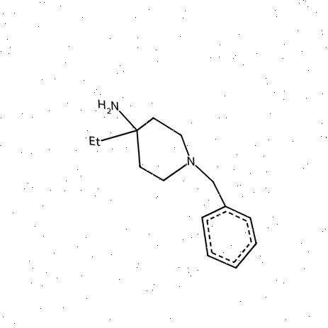 CCC1(N)CCN(Cc2ccccc2)CC1